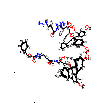 COc1ccc(C(OCC(O)CNC(=O)CCN)(c2ccccc2)c2ccc(OC)cc2)cc1.COc1ccc(C(OCC(O)CNC(=O)CCNC(=O)OCc2ccccc2)(c2ccccc2)c2ccc(OC)cc2)cc1